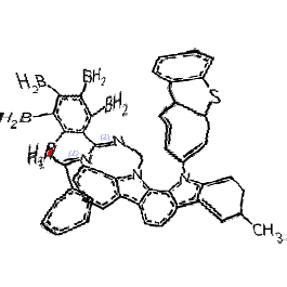 Bc1c(B)c(B)c(C(/N=C(\N)c2ccccc2)=N/Cn2c3ccccc3c3ccc4c5c(n(C6=CC7Sc8ccccc8C7C=C6)c4c32)=CCC(C)C=5)c(B)c1B